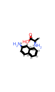 CC(N)C(=O)O.Nc1ccc2ccccc2c1